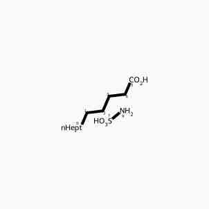 CCCCCCCCCCCC(=O)O.NS(=O)(=O)O